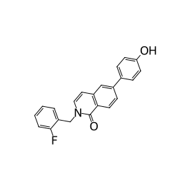 O=c1c2ccc(-c3ccc(O)cc3)cc2ccn1Cc1ccccc1F